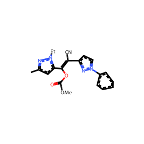 CCn1nc(C)cc1C(OC(=O)OC)=C(C#N)c1ccn(-c2ccccc2)n1